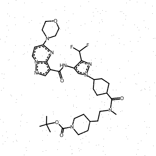 CN(CCC1CCN(C(=O)OC(C)(C)C)CC1)C(=O)C1CCC(n2cc(NC(=O)c3cnn4ccc(N5CCOCC5)nc34)c(C(F)F)n2)CC1